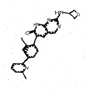 Cc1cccc(-c2ccc(-c3cc4cnc(NC5COC5)nc4[nH]c3=O)c(C)c2)n1